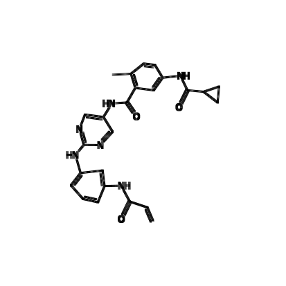 C=CC(=O)Nc1cccc(Nc2ncc(NC(=O)c3cc(NC(=O)C4CC4)ccc3C)cn2)c1